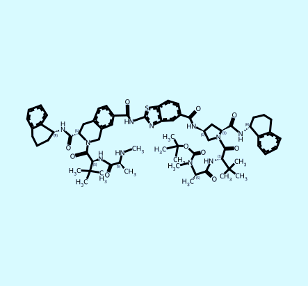 CN[C@@H](C)C(=O)N[C@H](C(=O)N1Cc2cc(C(=O)Nc3nc4cc(C(=O)N[C@H]5C[C@@H](C(=O)N[C@@H]6CCCc7ccccc76)N(C(=O)[C@@H](NC(=O)[C@H](C)N(C)C(=O)OC(C)(C)C)C(C)(C)C)C5)ccc4s3)ccc2C[C@H]1C(=O)N[C@@H]1CCCc2ccccc21)C(C)(C)C